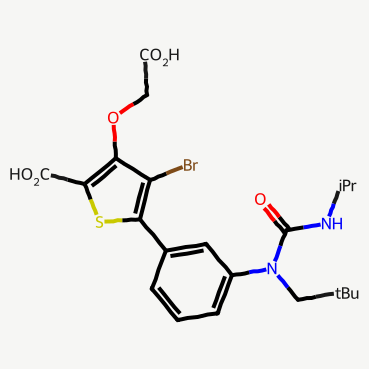 CC(C)NC(=O)N(CC(C)(C)C)c1cccc(-c2sc(C(=O)O)c(OCC(=O)O)c2Br)c1